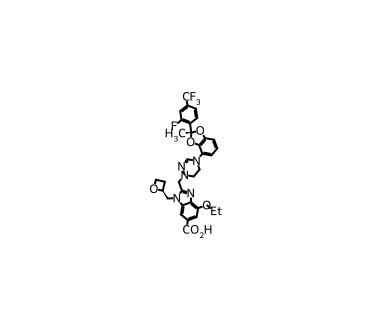 CCOc1cc(C(=O)O)cc2c1nc(CN1CCN(c3cccc4c3O[C@](C)(c3ccc(C(F)(F)F)cc3F)O4)C=N1)n2C[C@@H]1CCO1